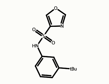 CC(C)(C)c1cccc(NS(=O)(=O)c2cocn2)c1